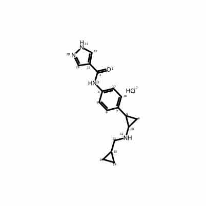 Cl.O=C(Nc1ccc(C2CC2NCC2CC2)cc1)c1cn[nH]c1